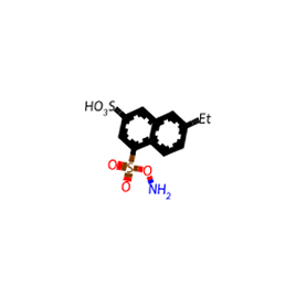 CCc1ccc2c(S(=O)(=O)ON)cc(S(=O)(=O)O)cc2c1